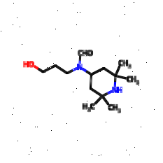 CC1(C)CC(N(C=O)CCCO)CC(C)(C)N1